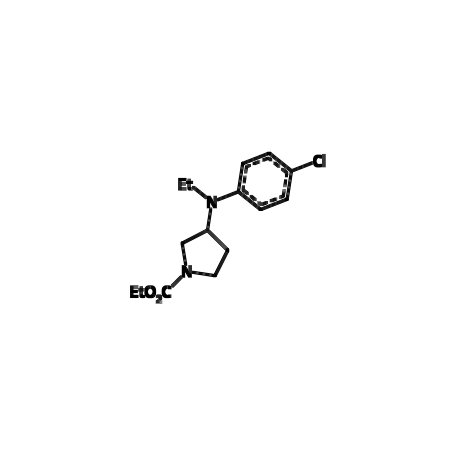 CCOC(=O)N1CCC(N(CC)c2ccc(Cl)cc2)C1